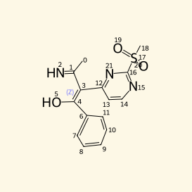 CC(=N)/C(=C(\O)c1ccccc1)c1ccnc(S(C)(=O)=O)n1